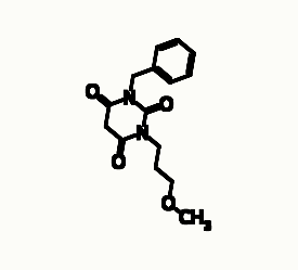 COCCCN1C(=O)CC(=O)N(Cc2ccccc2)C1=O